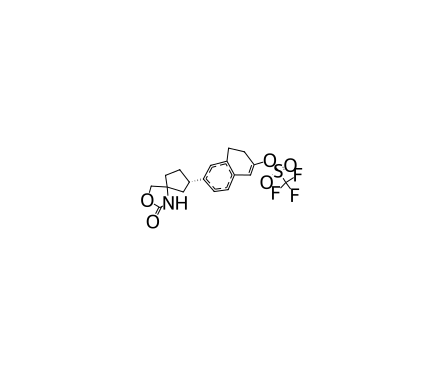 O=C1NC2(CC[C@H](c3ccc4c(c3)CCC(OS(=O)(=O)C(F)(F)F)=C4)C2)CO1